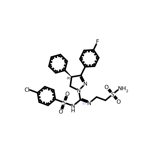 NS(=O)(=O)CC/N=C(/NS(=O)(=O)c1ccc(Cl)cc1)N1C[C@@H](c2ccccc2)C(c2ccc(F)cc2)=N1